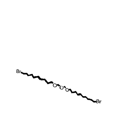 BrCCCCCC=CCCCOCOCOCCCC=CCCCCCBr